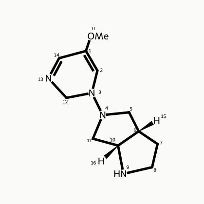 COC1=CN(N2C[C@@H]3CCN[C@@H]3C2)CN=C1